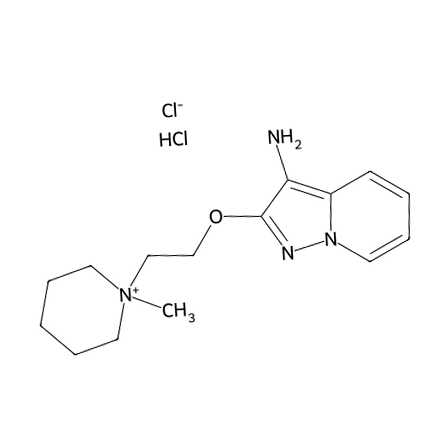 C[N+]1(CCOc2nn3ccccc3c2N)CCCCC1.Cl.[Cl-]